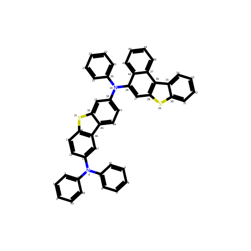 c1ccc(N(c2ccccc2)c2ccc3sc4cc(N(c5ccccc5)c5cc6sc7ccccc7c6c6ccccc56)ccc4c3c2)cc1